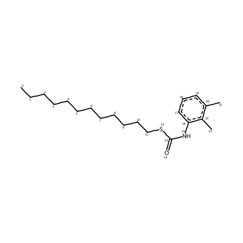 CCCCCCCCCCCCSC(=O)Nc1cccc(C)c1C